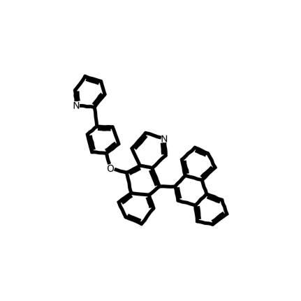 c1ccc(-c2ccc(Oc3c4ccccc4c(-c4cc5ccccc5c5ccccc45)c4cnccc34)cc2)nc1